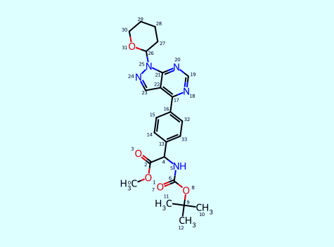 COC(=O)C(NC(=O)OC(C)(C)C)c1ccc(-c2ncnc3c2cnn3C2CCCCO2)cc1